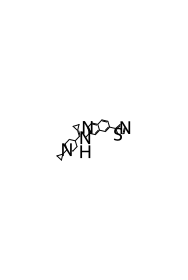 c1ncc(-c2ccc3cnc(NC(=C4CC4)C4CCN(C5CC5)CC4)cc3c2)s1